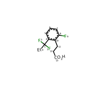 CCC(F)(F)c1cccc(F)c1CCC(=O)O